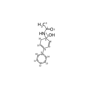 CC(=O)NC1(O)C=CC(c2ccccc2)=CC1